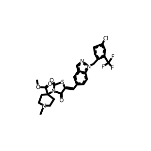 COC(=O)C1(N2C(=O)SC(=Cc3ccc4c(cnn4Cc4ccc(Cl)cc4C(F)(F)F)c3)C2=O)CCN(C)CC1